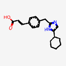 O=C(O)/C=C/c1ccc(Cc2ncc(C3CCCCC3)[nH]2)cc1